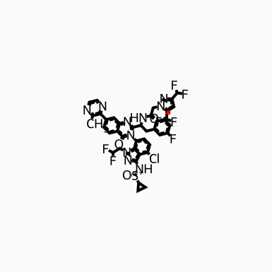 Cc1nccnc1-c1ccc2c(=O)n(-c3ccc(Cl)c4c(N[S+]([O-])C5CC5)nn(CC(F)F)c34)c(C(Cc3cc(F)cc(F)c3)NC(=O)Cn3nc(C(F)F)cc3C(F)F)nc2c1